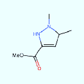 COC(=O)C1=CC(C)N(C)N1